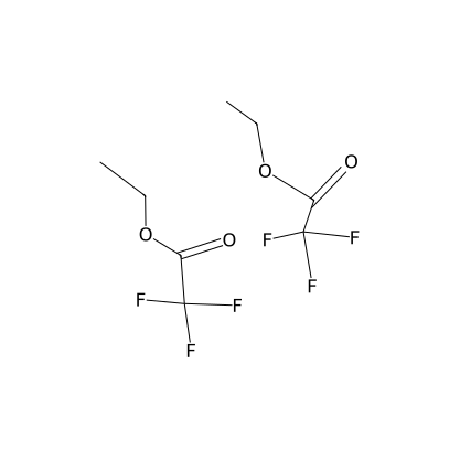 CCOC(=O)C(F)(F)F.CCOC(=O)C(F)(F)F